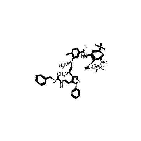 COc1c(NC(=O)c2ccc(C)c(N(N)/C=C(\N)c3cnn(-c4ccccc4)c3CCNC(=O)OCc3ccccc3)c2)cc(C(C)(C)C)cc1NS(C)(=O)=O